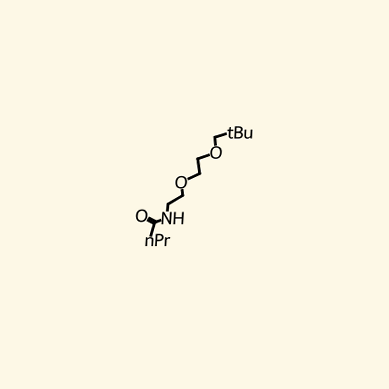 CCCC(=O)NCCOCCOCC(C)(C)C